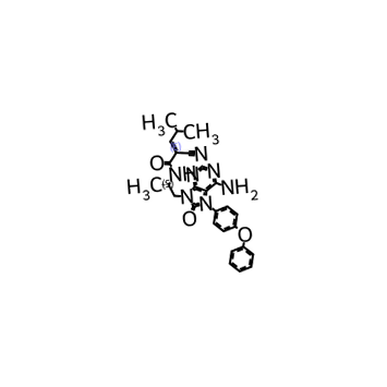 CC(C)/C=C(\C#N)C(=O)N[C@@H](C)Cn1c(=O)n(-c2ccc(Oc3ccccc3)cc2)c2c(N)ncnc21